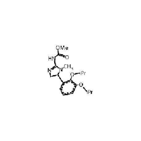 COC(=O)NC1=NCC(c2cccc(OC(C)C)c2OC(C)C)N1C